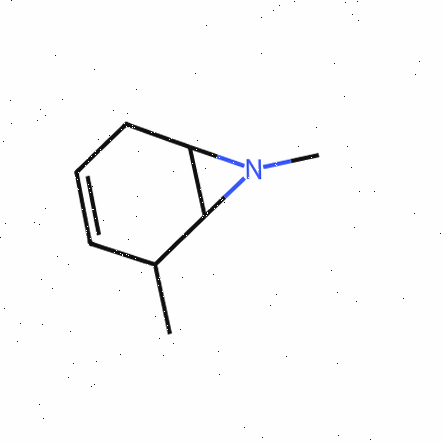 CC1C=CCC2C1N2C